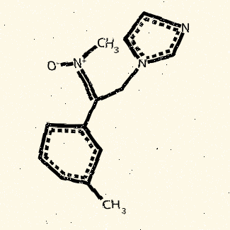 Cc1cccc(C(Cn2ccnc2)=[N+](C)[O-])c1